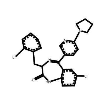 O=C1Nc2ccc(Cl)cc2C(c2ccc(N3CCCC3)nc2)=NC1Cc1ccccc1Cl